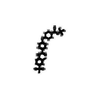 Cc1nc(S(C)(=O)=O)ccc1NC(=O)c1cnc(OC2CCN(C(=O)OC(C)(C)C)CC2)cn1